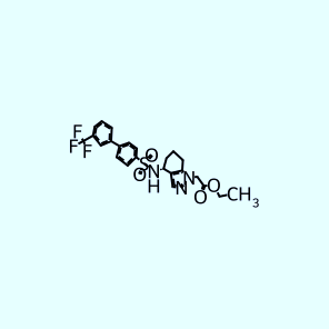 CCOC(=O)Cn1ncc2c1CCC[C@H]2NS(=O)(=O)c1ccc(-c2cccc(C(F)(F)F)c2)cc1